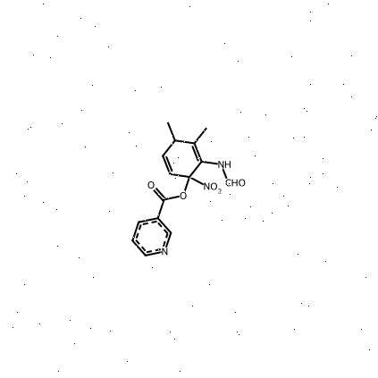 CC1=C(NC=O)C(OC(=O)c2cccnc2)([N+](=O)[O-])C=CC1C